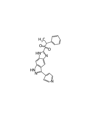 CC(c1ccccc1)S(=O)(=O)c1nc2cc3c(-c4ccncc4)n[nH]c3cc2[nH]1